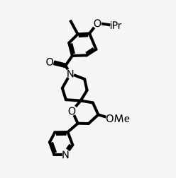 COC1CC(c2cccnc2)OC2(CCN(C(=O)c3ccc(OC(C)C)c(C)c3)CC2)C1